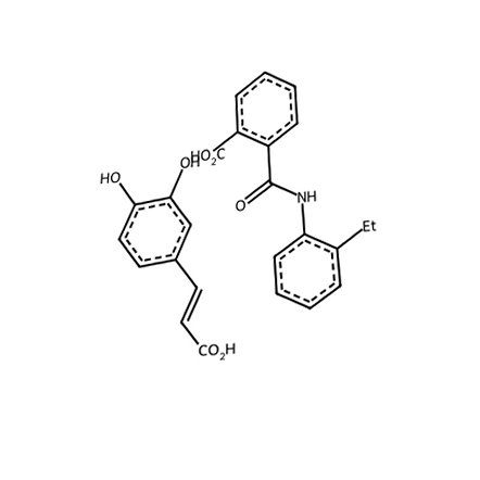 CCc1ccccc1NC(=O)c1ccccc1C(=O)O.O=C(O)C=Cc1ccc(O)c(O)c1